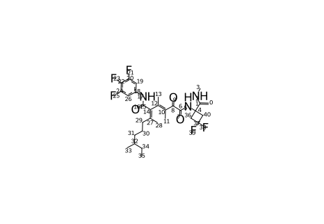 C=C(NC)C1(NC(=O)C(=O)/C(C)=C(C)/C(C(=O)Nc2cc(F)c(F)c(F)c2)=C(\C)CCCC(C)CC)CC(F)(F)C1